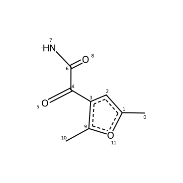 Cc1cc(C(=O)C([NH])=O)c(C)o1